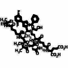 CCC(C)(CC)NC(=O)CCCC(=O)N[C@@H](C)C(=O)N(C)[C@@H](C)C(=O)N[C@@H](CC(N)=O)C(=O)N[C@@H](CCN(C(=O)CO)[C@@H](c1cc(-c2cc(F)ccc2F)cn1Cc1ccccc1)C(C)(C)C)C(=O)NCCC(=O)N[C@H](CCC(=O)O)C(=O)O